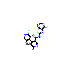 COc1cnc(Cl)cc1-c1cc(C)ncc1C(=O)Nc1nc2c(Cl)ncnc2s1